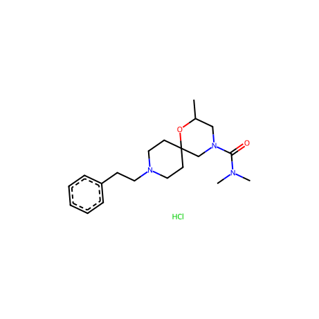 CC1CN(C(=O)N(C)C)CC2(CCN(CCc3ccccc3)CC2)O1.Cl